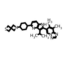 Cc1c(-c2[nH]c3ccc(C4CCC(N5CC6(CSC6)C5)CC4)nc3c2C(C)C)cn2ncnc2c1C